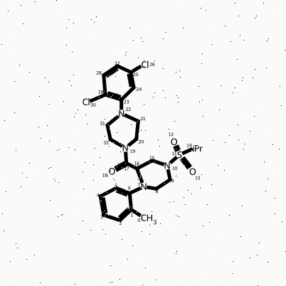 Cc1ccccc1N1CCN(S(=O)(=O)C(C)C)CC1C(=O)N1CCN(c2cc(Cl)ccc2Cl)CC1